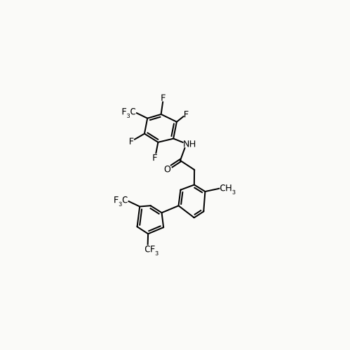 Cc1ccc(-c2cc(C(F)(F)F)cc(C(F)(F)F)c2)cc1CC(=O)Nc1c(F)c(F)c(C(F)(F)F)c(F)c1F